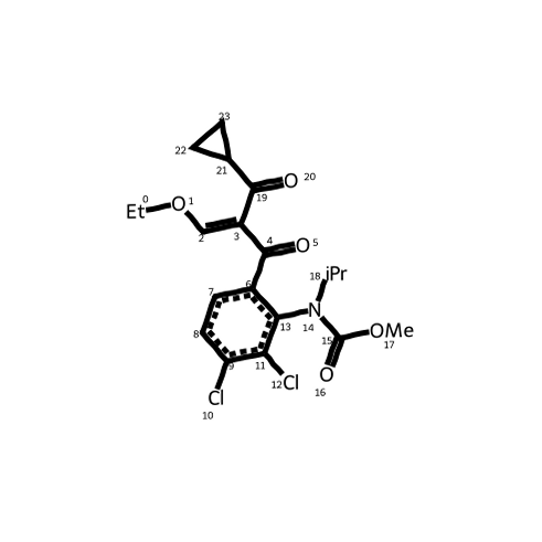 CCOC=C(C(=O)c1ccc(Cl)c(Cl)c1N(C(=O)OC)C(C)C)C(=O)C1CC1